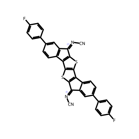 N#C/N=c1/c2cc(-c3ccc(F)cc3)ccc2c2c1sc1c2sc2/c(=N/C#N)c3cc(-c4ccc(F)cc4)ccc3c21